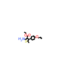 C=CCOc1ccc(-c2c(C)sc(N)c2C(=O)OCC)cc1